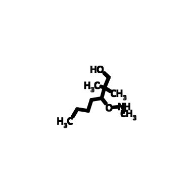 CCCCC(ONC)C(C)(C)CO